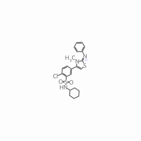 Cn1c(-c2ccc(Cl)c(S(=O)(=O)NC3CCCCC3)c2)cs/c1=N/c1ccccc1